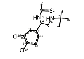 CC(=S)NC(CNC(C)(C)C)c1ccc(Cl)c(Cl)c1